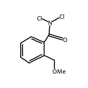 COCc1ccccc1C(=O)N(Cl)Cl